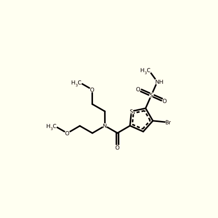 CNS(=O)(=O)c1sc(C(=O)N(CCOC)CCOC)cc1Br